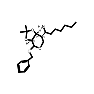 CCCCCCC(N)[C@H]1COC(OCc2ccccc2)[C@H]2OC(C)(C)O[C@H]12